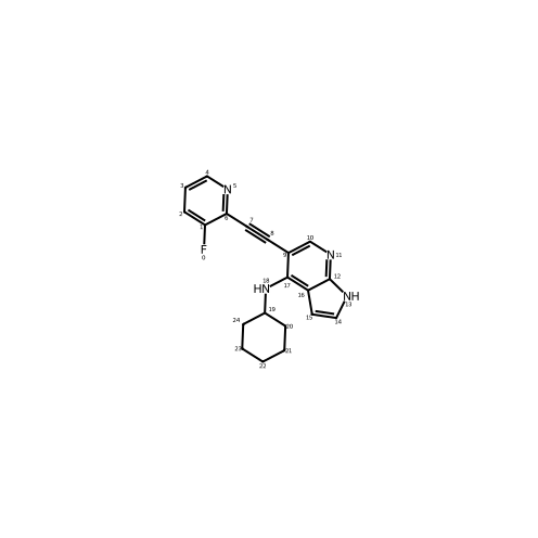 Fc1cccnc1C#Cc1cnc2[nH]ccc2c1NC1CCCCC1